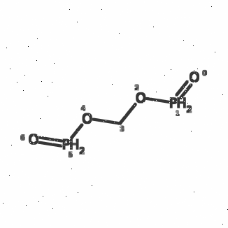 O=[PH2]OCO[PH2]=O